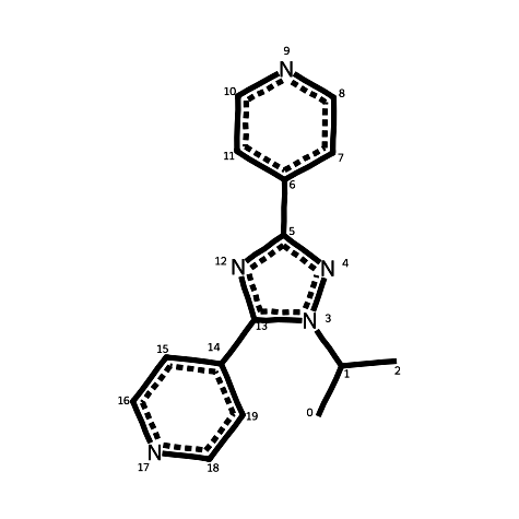 CC(C)n1nc(-c2ccncc2)nc1-c1ccncc1